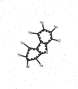 [2H]c1c([2H])c([2H])c2c(sc3c([2H])c(Br)c([2H])c([2H])c32)c1Cl